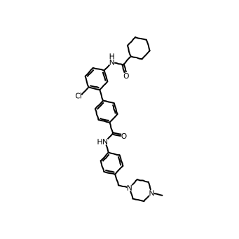 CN1CCN(Cc2ccc(NC(=O)c3ccc(-c4cc(NC(=O)C5CCCCC5)ccc4Cl)cc3)cc2)CC1